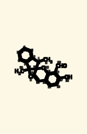 CN1c2ccccc2C(C)(C)C12C=Cc1ccc(O)c(C=O)c1O2